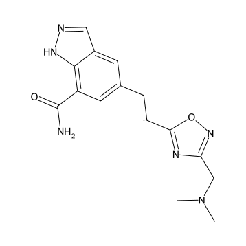 CN(C)Cc1noc([CH]Cc2cc(C(N)=O)c3[nH]ncc3c2)n1